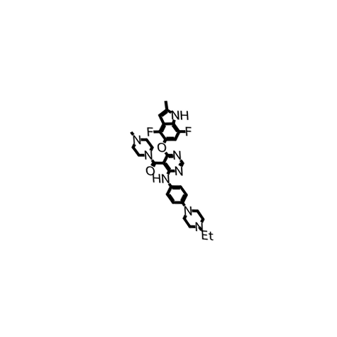 CCN1CCN(c2ccc(Nc3ncnc(Oc4cc(F)c5[nH]c(C)cc5c4F)c3C(=O)N3CCN(C)CC3)cc2)CC1